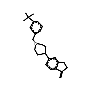 C=C1CCc2cc(C3CCN(Cc4cccc(C(C)(C)C)c4)CC3)ccc21